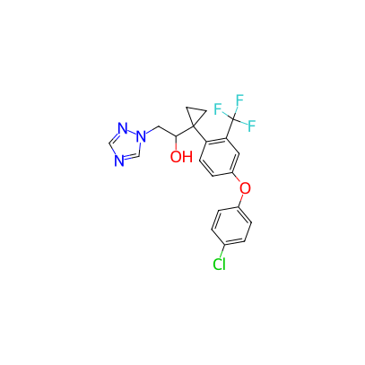 OC(Cn1cncn1)C1(c2ccc(Oc3ccc(Cl)cc3)cc2C(F)(F)F)CC1